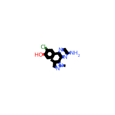 Cc1cnn(C)c1-c1nc(N)cnc1-c1ccc(O)c(Cl)c1